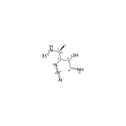 CCN[C@@H](C)C(N=[N+]=[N-])C(S)C=N